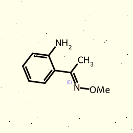 CO/N=C(\C)c1ccccc1N